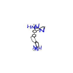 Cc1nc2c3c(ccc2[nH]1)-c1ccc(-c2ccc4c(c2)c2ncccc2c2nc(C)[nH]c42)cc1CC3